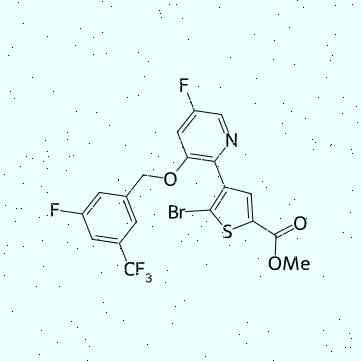 COC(=O)c1cc(-c2ncc(F)cc2OCc2cc(F)cc(C(F)(F)F)c2)c(Br)s1